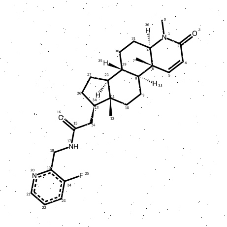 CN1C(=O)C=C[C@]2(C)[C@H]3CC[C@]4(C)[C@@H](CC(=O)NCc5ncccc5F)CC[C@H]4[C@@H]3CC[C@@H]12